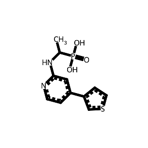 CC(Nc1cc(-c2ccsc2)ccn1)P(=O)(O)O